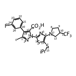 Cc1nn(-c2nc(N3CCC(C(F)(F)F)C3)c(SC(C)C)s2)c(C(=O)O)c1-c1cccc(F)c1